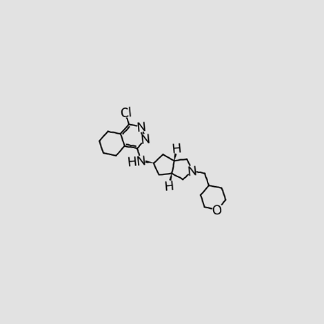 Clc1nnc(N[C@H]2C[C@@H]3CN(CC4CCOCC4)C[C@@H]3C2)c2c1CCCC2